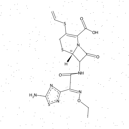 C=CSC1=C(C(=O)O)N2C(=O)C(NC(=O)C(=NOCC)c3nsc(N)n3)[C@@H]2SC1